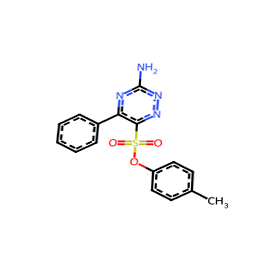 Cc1ccc(OS(=O)(=O)c2nnc(N)nc2-c2ccccc2)cc1